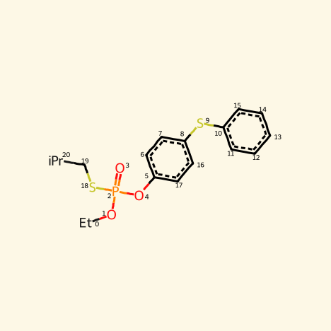 CCOP(=O)(Oc1ccc(Sc2ccccc2)cc1)SCC(C)C